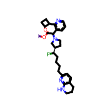 O=C(OI)C(c1cccnc1C1CCC1)N1CC[C@@H](C(F)CCCCc2ccc3c(n2)NCCC3)C1